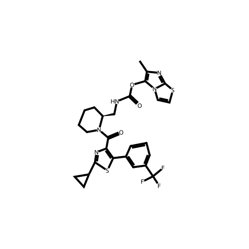 Cc1nc2sccn2c1OC(=O)NC[C@@H]1CCCCN1C(=O)c1nc(C2CC2)sc1-c1cccc(C(F)(F)F)c1